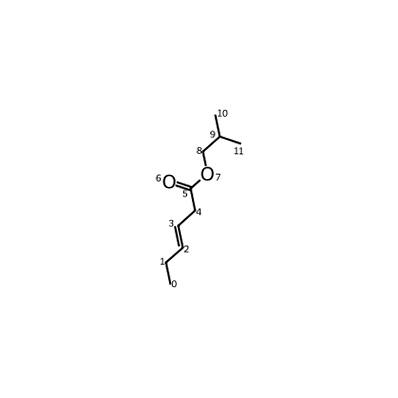 CCC=CCC(=O)OCC(C)C